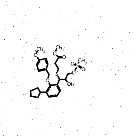 COC(=O)CCSC(c1cccc(C2CCCC2)c1OCc1ccc(OC)cc1)C(O)COS(C)(=O)=O